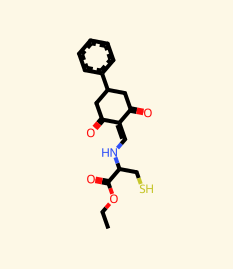 CCOC(=O)C(CS)NC=C1C(=O)CC(c2ccccc2)CC1=O